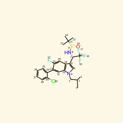 CC(C)Cn1cc([C@H](N[S@@+]([O-])C(C)(C)C)C(F)(F)F)c2cc(F)c(-c3ccccc3Cl)cc21